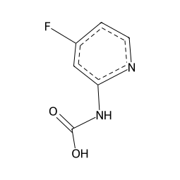 O=C(O)Nc1cc(F)ccn1